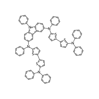 c1ccc(N(c2ccccc2)c2ccc(-c3ccc(N(c4ccccc4)c4ccc5c(c4)c4cc(N(c6ccccc6)c6ccc(-c7ccc(N(c8ccccc8)c8ccccc8)s7)s6)ccc4n5-c4ccccc4)s3)s2)cc1